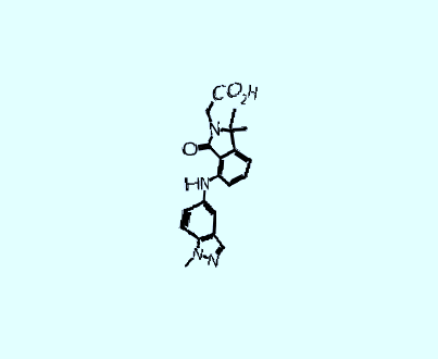 Cn1ncc2cc(Nc3cccc4c3C(=O)N(CC(=O)O)C4(C)C)ccc21